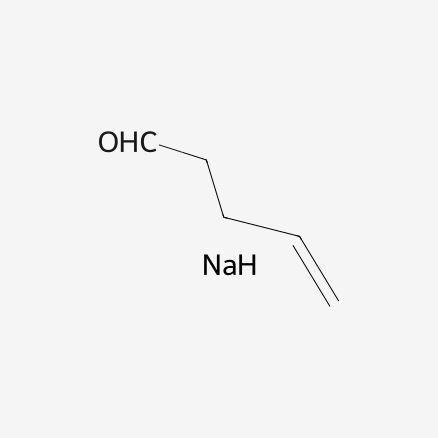 C=CCCC=O.[NaH]